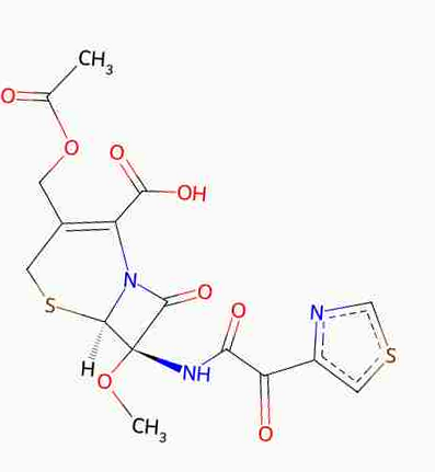 CO[C@@]1(NC(=O)C(=O)c2cscn2)C(=O)N2C(C(=O)O)=C(COC(C)=O)CS[C@@H]21